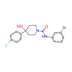 O=C(Nc1cccc(Br)c1)N1CCC(O)(c2ccc(F)cc2)CC1